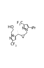 CC(C)c1cc(C(F)(F)F)nn1CC1C[C@H]1[C@@H](C)c1cc(C(F)(F)F)nn1CCO